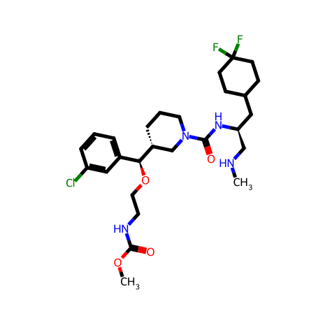 CNC[C@H](CC1CCC(F)(F)CC1)NC(=O)N1CCC[C@@H]([C@@H](OCCNC(=O)OC)c2cccc(Cl)c2)C1